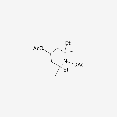 CCC1(C)CC(OC(C)=O)CC(C)(CC)N1OC(C)=O